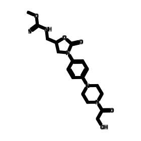 COC(=S)NCC1CN(c2ccc(N3CCN(C(=O)CO)CC3)cc2)C(=O)O1